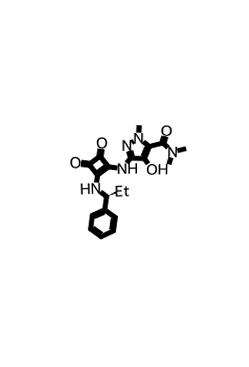 CC[C@@H](Nc1c(Nc2nn(C)c(C(=O)N(C)C)c2O)c(=O)c1=O)c1ccccc1